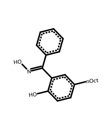 CCCCCCCCc1ccc(O)c(C(=NO)c2ccccc2)c1